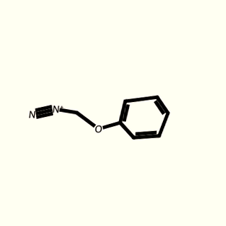 N#[N+]COc1ccccc1